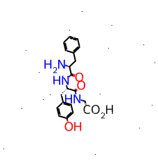 N[C@@H](Cc1ccccc1)C(=O)N[C@@H](Cc1ccc(O)cc1)C(=O)NCC(=O)O